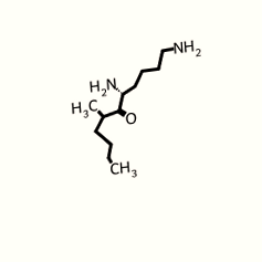 CCCCC(C)C(=O)[C@H](N)CCCCN